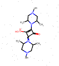 CCCN1CC(C)N(c2c(O)c(=[N+]3C(C)CN(CCC)CC3C)c2=O)C(C)C1.[OH-]